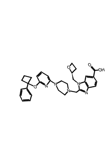 O=C(O)c1ccc2nc(CN3CCN(c4cccc(OC5(c6ccccc6)CCC5)n4)CC3)n(C[C@@H]3CCO3)c2c1